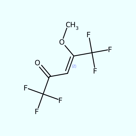 CO/C(=C\C(=O)C(F)(F)F)C(F)(F)F